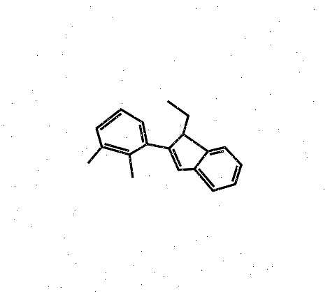 CC[C]1C(c2cccc(C)c2C)=Cc2ccccc21